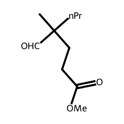 CCCC(C)(C=O)CCC(=O)OC